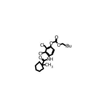 CCC(C)COC(=O)Oc1ccc(NC(=O)C2(C)CCCCC2)c(Cl)c1Cl